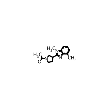 CC(=O)N1CCC(c2nc3c(C)cccc3n2C)C1